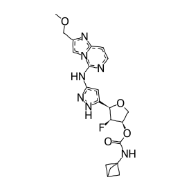 COCc1cn2c(Nc3cc([C@H]4OC[C@@H](OC(=O)NC56CC(C5)C6)[C@H]4F)[nH]n3)nccc2n1